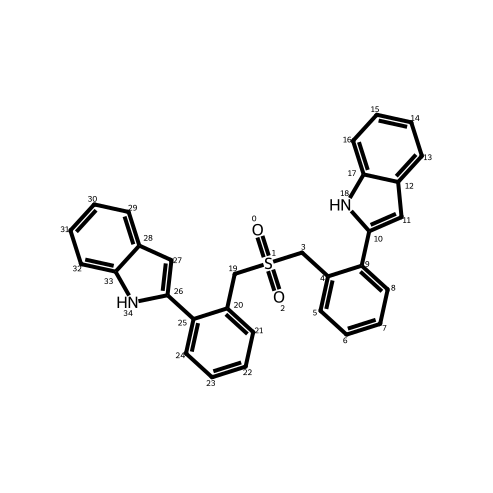 O=S(=O)(Cc1ccccc1-c1cc2ccccc2[nH]1)Cc1ccccc1-c1cc2ccccc2[nH]1